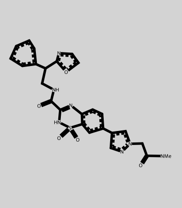 CNC(=O)Cn1cc(-c2ccc3c(c2)S(=O)(=O)NC(C(=O)NCC(c2ccccc2)c2ncco2)=N3)cn1